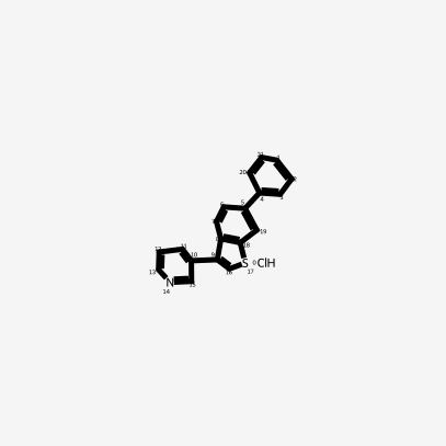 Cl.c1ccc(-c2ccc3c(-c4cccnc4)csc3c2)cc1